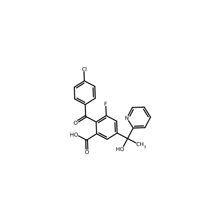 CC(O)(c1cc(F)c(C(=O)c2ccc(Cl)cc2)c(C(=O)O)c1)c1ccccn1